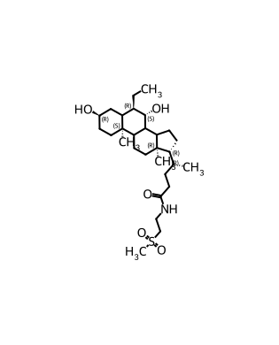 CC[C@@H]1C2C[C@H](O)CC[C@]2(C)C2CC[C@@]3(C)C(CC[C@@H]3[C@H](C)CCC(=O)NCCS(C)(=O)=O)C2[C@H]1O